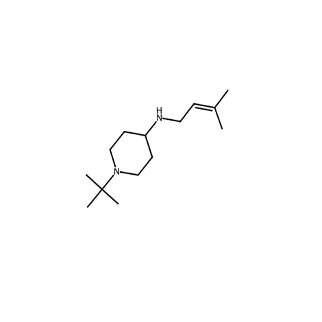 CC(C)=CCNC1CCN(C(C)(C)C)CC1